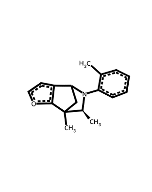 Cc1ccccc1N1C2CC(C)(c3occc32)[C@@H]1C